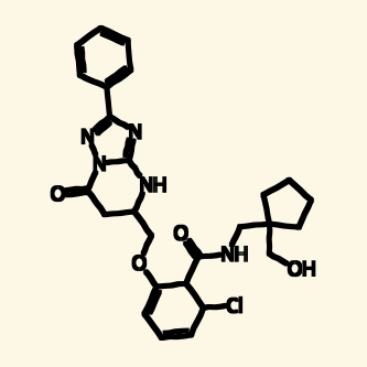 O=C(NCC1(CO)CCCC1)C1C(OCC2CC(=O)n3nc(-c4ccccc4)nc3N2)=CC=CC1Cl